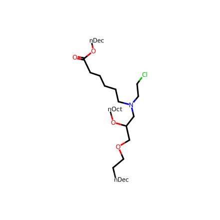 CCCCCCCCCCCCOCC(CN(CCCl)CCCCCC(=O)OCCCCCCCCCC)OCCCCCCCC